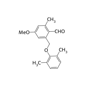 COc1cc(C)c(C=O)c(COc2c(C)cccc2C)c1